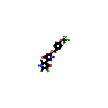 Cc1[nH]c(C)c(-c2c[nH]c(OCc3ccc(OC(F)(F)F)cc3)cc2=O)c(=O)c1Cl